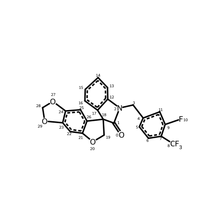 O=C1N(Cc2ccc(C(F)(F)F)c(F)c2)c2ccccc2C12COc1cc3c(cc12)OCO3